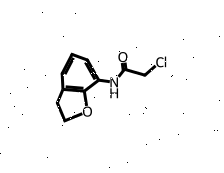 O=C(CCl)Nc1cccc2c1OCC2